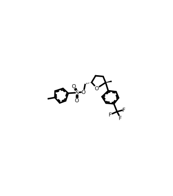 Cc1ccc(S(=O)(=O)OC[C@@H]2CC[C@](C)(c3ccc(C(F)(F)F)cc3)O2)cc1